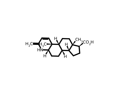 C=C1C=C[C@@]2(C)[C@H](CC[C@@H]3[C@H]2CC[C@]2(C)[C@@H](C(=O)O)CC[C@H]32)N1